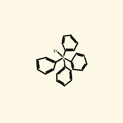 CCP(c1ccccc1)(c1ccccc1)(c1ccccc1)c1ccccc1